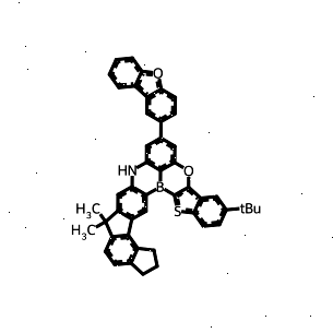 CC(C)(C)c1ccc2sc3c(c2c1)Oc1cc(-c2ccc4oc5ccccc5c4c2)cc2c1B3c1cc3c(cc1N2)C(C)(C)c1ccc2c(c1-3)CCC2